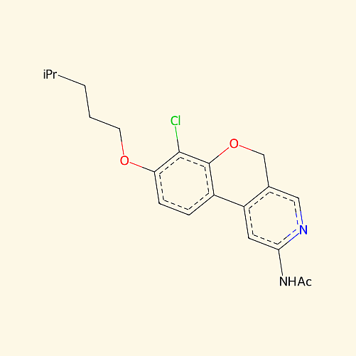 CC(=O)Nc1cc2c(cn1)COc1c-2ccc(OCCCC(C)C)c1Cl